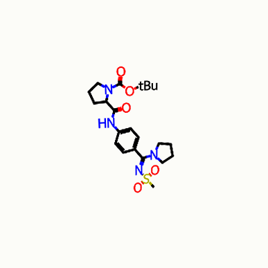 CC(C)(C)OC(=O)N1CCCC1C(=O)Nc1ccc(C(=NS(C)(=O)=O)N2CCCC2)cc1